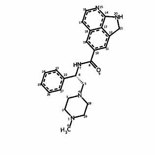 CN1CCN(C[C@@H](NC(=O)c2cc3c4c(nccc4c2)NC3)c2ccccc2)CC1